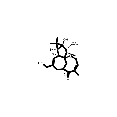 CC(=O)O[C@@H]1[C@@H](C)[C@]23C[C@](O)(CC(CO)=C[C@H]2[C@H]2C(C)(C)[C@]12O)C(=O)/C(C)=C\CO3